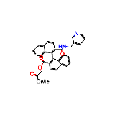 COC(=O)COC(=O)c1ccc2ccccc2c1-c1c(C(=O)NCc2cccnc2)ccc2ccccc12